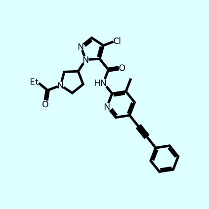 CCC(=O)N1CCC(n2ncc(Cl)c2C(=O)Nc2ncc(C#Cc3ccccc3)cc2C)C1